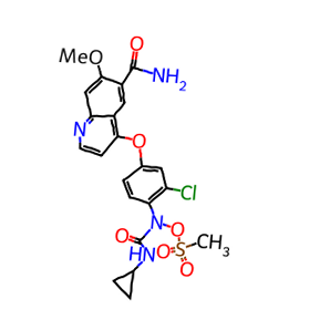 COc1cc2nccc(Oc3ccc(N(OS(C)(=O)=O)C(=O)NC4CC4)c(Cl)c3)c2cc1C(N)=O